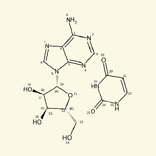 Nc1ncnc2c1ncn2[C@@H]1O[C@H](CO)[C@@H](O)[C@H]1O.O=c1cc[nH]c(=O)[nH]1